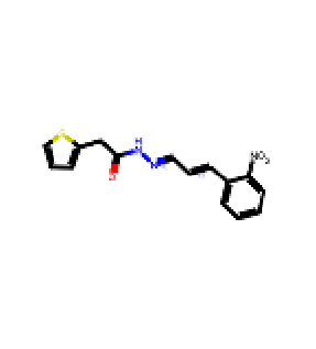 O=C(Cc1cccs1)N/N=C/C=C/c1ccccc1[N+](=O)[O-]